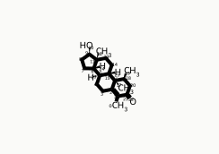 CC1=C2CC[C@H]3[C@@H]4CC[C@H](O)[C@@]4(C)CC[C@@H]3[C@@]2(C)[C@@H](C)CC1=O